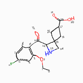 CCOc1cc(F)ccc1C(=O)C1NCC12CC(C(=O)O)C2